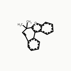 CC1(C)C=Cc2ccccc2-c2c1oc1ccccc21